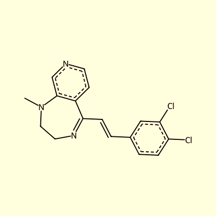 CN1CCN=C(C=Cc2ccc(Cl)c(Cl)c2)c2ccncc21